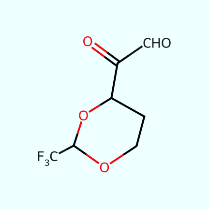 O=CC(=O)C1CCOC(C(F)(F)F)O1